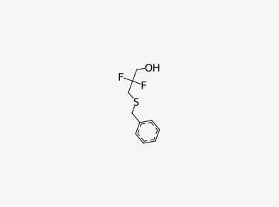 OCC(F)(F)CSCc1ccccc1